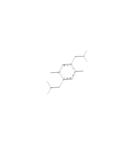 Clc1cc(CC(Cl)Cl)c(Cl)cc1CC(Cl)Cl